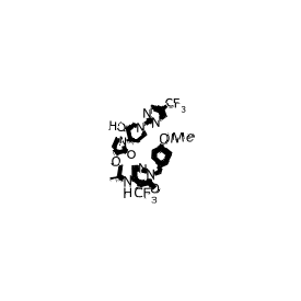 COc1ccc(Cn2ncc(N[C@@H](C)CO[C@@H]3CCN([C@@H]4CCN(c5ncc(C(F)(F)F)cn5)C[C@H]4O)C3=O)c(C(F)(F)F)c2=O)cc1